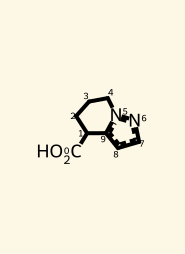 O=C(O)C1CCCn2nccc21